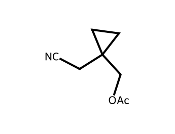 CC(=O)OCC1(CC#N)CC1